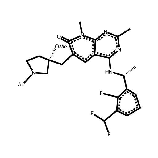 CO[C@@]1(Cc2cc3c(N[C@H](C)c4cccc(C(F)F)c4F)nc(C)nc3n(C)c2=O)CCN(C(C)=O)C1